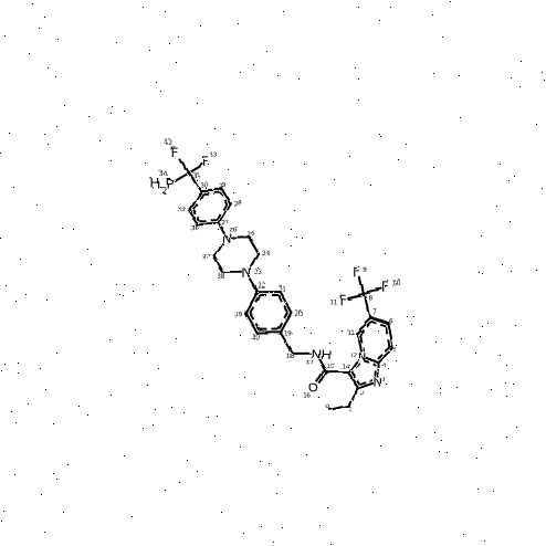 CCc1nc2ccc(C(F)(F)F)cn2c1C(=O)NCc1ccc(N2CCN(c3ccc(C(F)(F)P)cc3)CC2)cc1